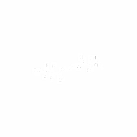 CCC(C)(C)C(=O)OCCOC(=O)C(F)(F)C(F)(F)C(F)(F)F